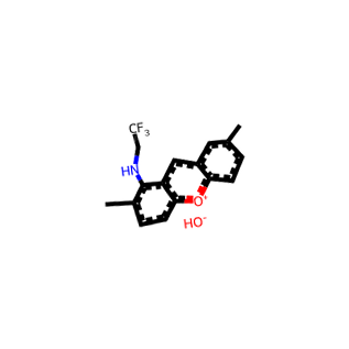 Cc1ccc2[o+]c3ccc(C)c(NCC(F)(F)F)c3cc2c1.[OH-]